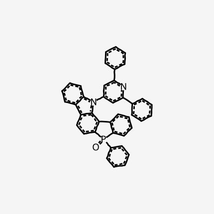 O=P1(c2ccccc2)c2ccccc2-c2c1ccc1c3ccccc3n(-c3cc(-c4ccccc4)nc(-c4ccccc4)c3)c21